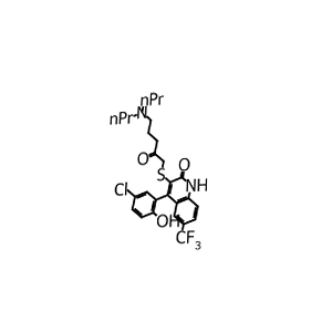 CCCN(CCC)CCCC(=O)CSc1c(-c2cc(Cl)ccc2O)c2cc(C(F)(F)F)ccc2[nH]c1=O